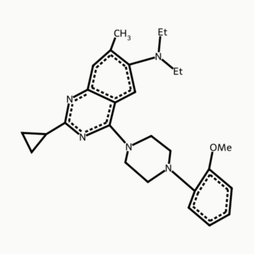 CCN(CC)c1cc2c(N3CCN(c4ccccc4OC)CC3)nc(C3CC3)nc2cc1C